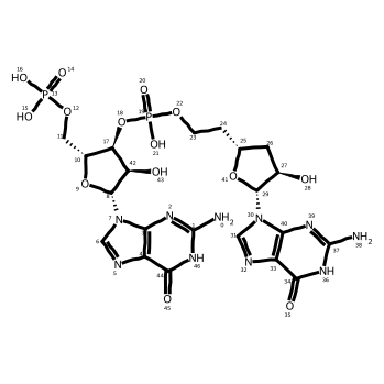 Nc1nc2c(ncn2[C@@H]2O[C@H](COP(=O)(O)O)[C@@H](OP(=O)(O)OCC[C@@H]3C[C@@H](O)[C@H](n4cnc5c(=O)[nH]c(N)nc54)O3)[C@H]2O)c(=O)[nH]1